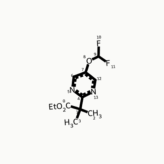 CCOC(=O)C(C)(C)c1ncc(OC(F)F)cn1